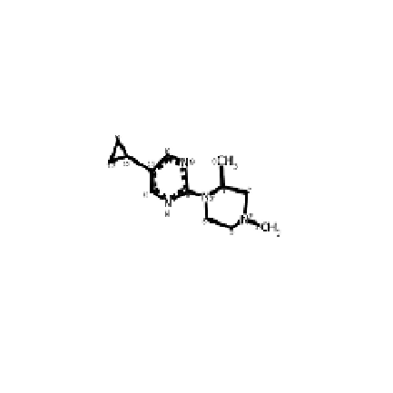 CC1CN(C)CCN1c1ncc(C2CC2)cn1